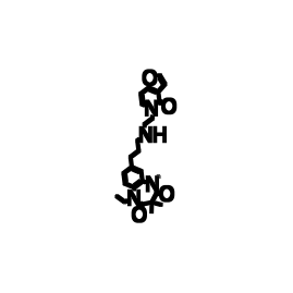 CCN1C(=O)C(C)(C)C(=O)N(C)c2cc(CCCNCCn3ccc4occc4c3=O)ccc21